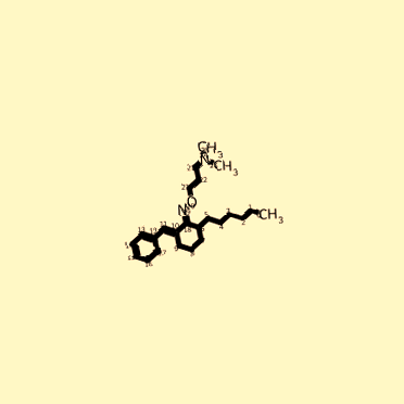 CCCCCCC1CCCC(=C\c2ccccc2)/C1=N/OCCCN(C)C